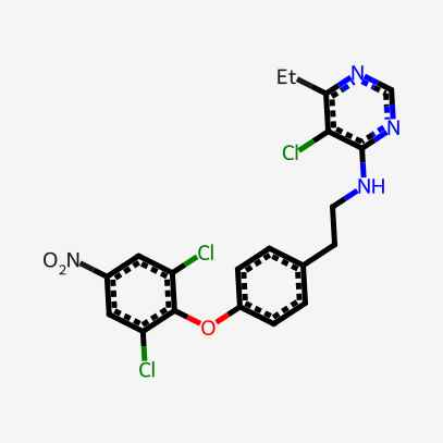 CCc1ncnc(NCCc2ccc(Oc3c(Cl)cc([N+](=O)[O-])cc3Cl)cc2)c1Cl